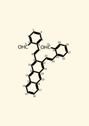 O=Cc1ccccc1/C=C/c1cc2cc3ccccc3cc2cc1/C=C/c1ccccc1C=O